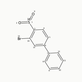 O=[SH](=O)c1c[c]c(-c2ccccc2)cc1Br